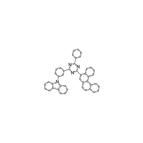 c1ccc(-c2nc(-c3cccc(-n4c5ccccc5c5ccccc54)c3)nc(-c3cc4ccc5ccccc5c4c4ccccc34)n2)cc1